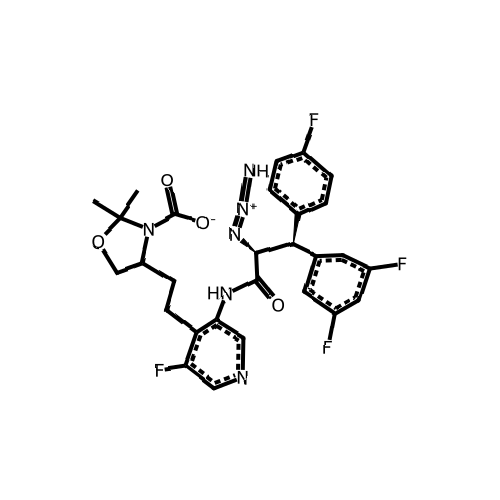 CC1(C)OCC(CCc2c(F)cncc2NC(=O)[C@@H](N=[N+]=N)[C@@H](c2ccc(F)cc2)c2cc(F)cc(F)c2)N1C(=O)[O-]